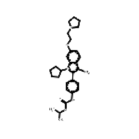 CC(C)OC(=O)Nc1ccc(-c2c(N)c3ccc(OCCN4CCCC4)cc3n2C2CCCC2)cc1